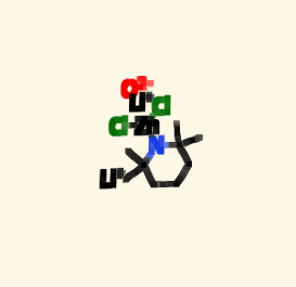 CC1(C)CCCC(C)(C)[N]1[Zn]([Cl])[Cl].[Li+].[Li+].[O-2]